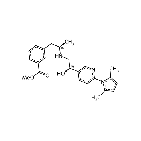 COC(=O)c1cccc(C[C@@H](C)NC[C@H](O)c2ccc(-n3c(C)ccc3C)nc2)c1